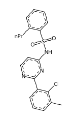 CCCc1ccccc1S(=O)(=O)Nc1ccnc(-c2cccc(C)c2Cl)n1